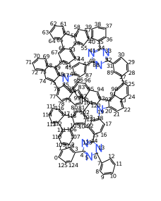 c1ccc(-c2nc(-c3ccccc3)nc(-c3ccc(-n4c5ccc6ccc(-c7cccc(-c8nc(-c9ccccc9)nc(-c9ccc(-n%10c%11c(-c%12ccc%13c%14ccccc%14c%14ccccc%14c%13c%12)c%12ccccc%12cc%11c%11ccc%12ccccc%12c%11%10)cc9)n8)c7)cc6c5c5cc6ccccc6c(-c6ccc7c8ccccc8c8ccccc8c7c6)c54)cc3)n2)cc1